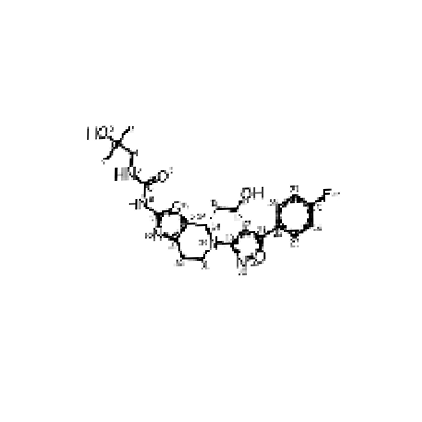 CC(C)(O)CNC(=O)Nc1nc2c(s1)[C@H](CCO)N(c1cc(-c3ccc(F)cc3)on1)CC2